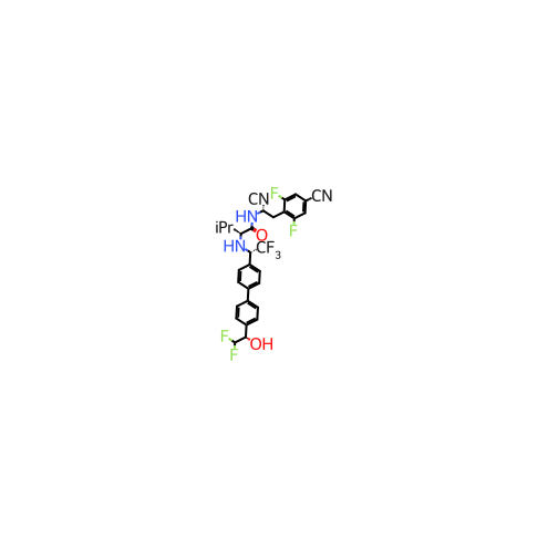 CC(C)[C@H](N[C@@H](c1ccc(-c2ccc([C@@H](O)C(F)F)cc2)cc1)C(F)(F)F)C(=O)N[C@H](C#N)Cc1c(F)cc(C#N)cc1F